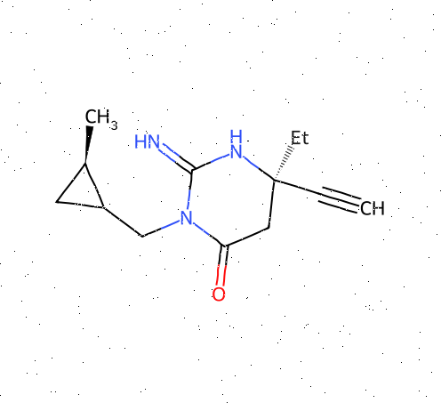 C#C[C@@]1(CC)CC(=O)N(CC2C[C@H]2C)C(=N)N1